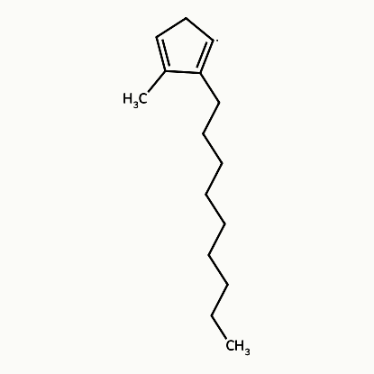 CCCCCCCCCC1=[C]CC=C1C